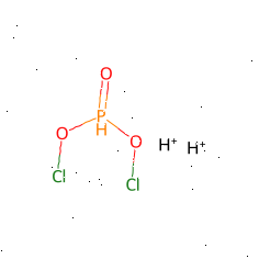 O=[PH](OCl)OCl.[H+].[H+]